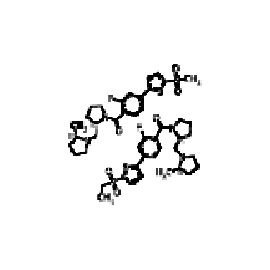 CCS(=O)(=O)c1ccc(-c2ccc(C(=O)N3CCC[C@H]3CN3CCC[C@H]3C)c(F)c2)s1.C[C@@H]1CCCN1C[C@@H]1CCCN1C(=O)c1ccc(-c2ccc(S(C)(=O)=O)s2)cc1F